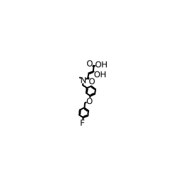 CN(Cc1cccc(OCc2ccc(F)cc2)c1)C(=O)C=C(O)C(=O)O